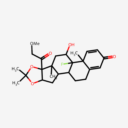 COCC(=O)C12OC(C)(C)OC1CC1C3CCC4=CC(=O)C=CC4(C)C3(F)C(O)CC12C